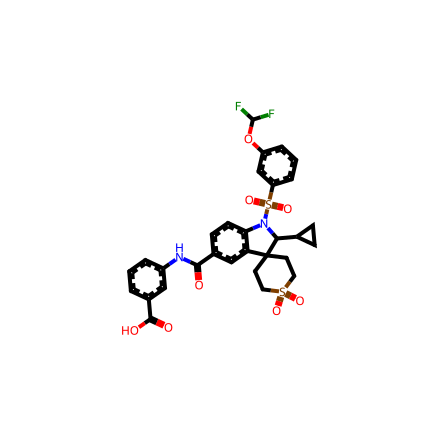 O=C(O)c1cccc(NC(=O)c2ccc3c(c2)C2(CCS(=O)(=O)CC2)C(C2CC2)N3S(=O)(=O)c2cccc(OC(F)F)c2)c1